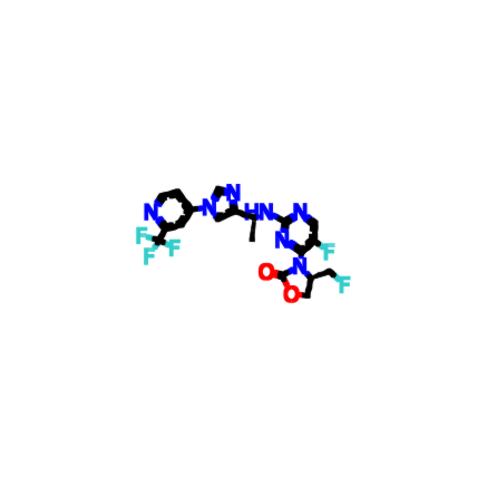 C[C@H](Nc1ncc(F)c(N2C(=O)OC[C@@H]2CF)n1)c1cn(-c2ccnc(C(F)(F)F)c2)cn1